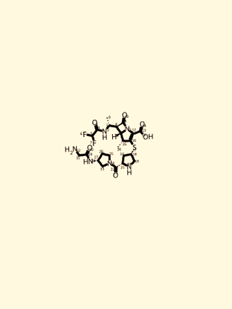 C[C@@H](NC(=O)C(F)F)[C@H]1C(=O)N2C(C(=O)O)=C(S[C@@H]3CN[C@H](C(=O)N4CC[C@@H](NC(=O)CN)C4)C3)[C@H](C)[C@H]12